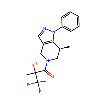 C[C@H]1CN(C(=O)C(C)(O)C(F)(F)F)Cc2cnn(-c3ccccc3)c21